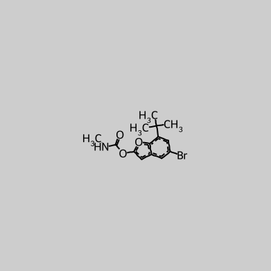 CNC(=O)Oc1cc2cc(Br)cc(C(C)(C)C)c2o1